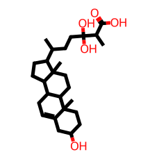 CC(CCC(O)(O)C(C)C(=O)O)C1CCC2C3CC=C4CC(O)CCC4(C)C3CCC12C